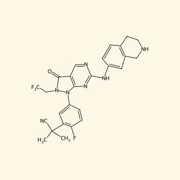 CC(C)(C#N)c1cc(-n2c3nc(Nc4ccc5c(c4)CNCC5)ncc3c(=O)n2CC(F)(F)F)ccc1F